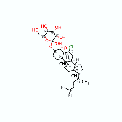 CC[C@H](CC[C@@H](C)[C@H]1CC[C@H]2[C@@H]3C[C@H](Cl)[C@]4(O)C[C@@H](OC5(O)O[C@H](CO)[C@@H](O)[C@H](O)[C@H]5O)CC[C@]4(C)[C@H]3CC[C@]12C)C(C)C